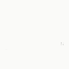 [Li][c]1cccc(C#N)c1